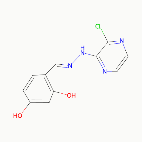 Oc1ccc(C=NNc2nccnc2Cl)c(O)c1